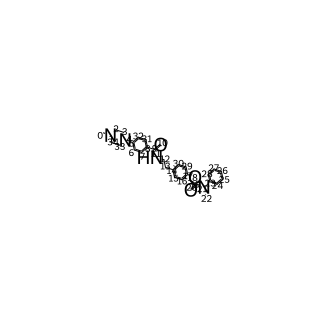 CN1CCN(c2ccc(C(=O)NCCc3ccc(OC(=O)N(C)c4ccccc4)cc3)cc2)CC1